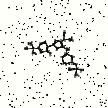 CC(C)(O)c1ccc(-c2cc(C(N)=O)c(Nc3cccc(CP(C)(=O)O)n3)s2)c(F)c1